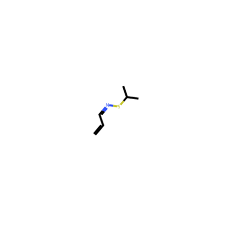 C=C/C=N\SC(C)C